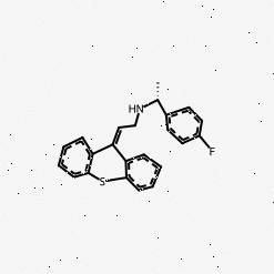 C[C@@H](NCC=C1c2ccccc2Sc2ccccc21)c1ccc(F)cc1